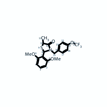 COc1cccc(OC)c1C1SC(C)C(=O)N1Cc1ccc(OC(F)(F)F)cc1